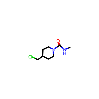 CNC(=O)N1CCC(CCl)CC1